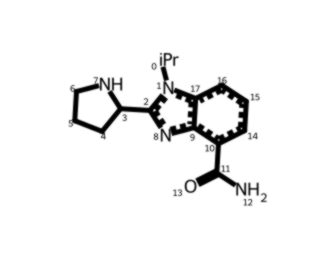 CC(C)n1c(C2CCCN2)nc2c(C(N)=O)cccc21